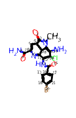 CN1C(=O)c2cc(C(N)=O)nc3c(NC(=O)c4ccc(Br)cc4)c(Cl)c(N)c1c23